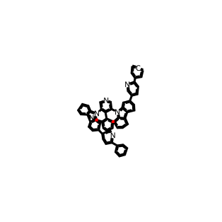 N#Cc1ccccc1-c1c(-n2c3ccccc3c3ccc(-c4ccc(-c5ccccc5)nc4)cc32)cncc1-n1c2ccccc2c2ccc(-c3ccc(-c4ccccc4)nc3)cc21